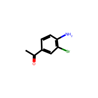 CC(=O)c1ccc(N)c(Br)c1